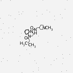 CC(C)CC(=O)N1CCN(C(=O)NCC2CCN(C)CC2)c2ccccc21